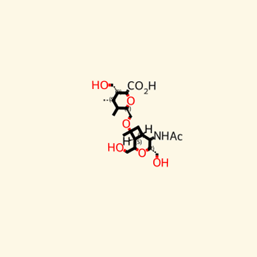 CC(=O)NC1[C@H](CO)OC(CO)[C@@H]2[C@H]1CC2(C)OC[C@@H]1OC(C(=O)O)[C@@H](CO)[C@@H](C)C1C